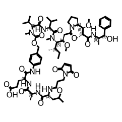 CC[C@H](C)[C@@H]([C@@H](CC(=O)N1CCC[C@H]1[C@H](OC)[C@@H](C)C(=O)N[C@H](C)[C@@H](O)c1ccccc1)OC)N(C)C(=O)[C@@H](NC(=O)[C@H](C(C)C)N(C)C(=O)OCc1ccc(NC(=O)[C@H](CCC(=O)O)NC(=O)[C@H](C)NC(=O)[C@H](CC(C)C)NC(=O)CCN2C(=O)C=CC2=O)cc1)C(C)C